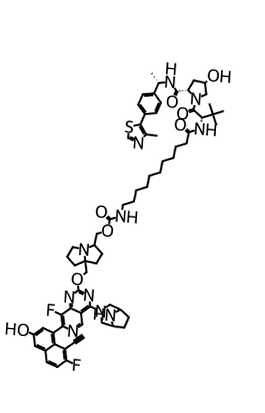 C#Cc1c(F)ccc2cc(O)cc(-c3ncc4c(N5CC6CCC(C5)N6)nc(OCC56CCCN5C(COC(=O)NCCCCCCCCCCC(=O)N[C@H](C(=O)N5C[C@H](O)C[C@H]5C(=O)N[C@@H](C)c5ccc(-c7scnc7C)cc5)C(C)(C)C)CC6)nc4c3F)c12